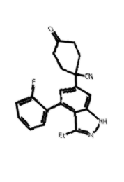 CCc1n[nH]c2cc(C3(C#N)CCC(=O)CC3)cc(-c3ccccc3F)c12